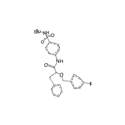 CC(C)(C)NS(=O)(=O)c1ccc(NC(=O)C(Cc2ccccc2)OCc2ccc(F)cc2)cc1